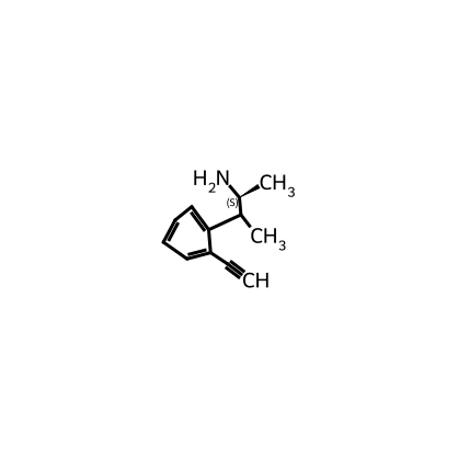 C#Cc1ccccc1C(C)[C@H](C)N